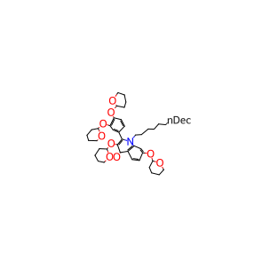 CCCCCCCCCCCCCCCCn1c(-c2ccc(OC3CCCCO3)c(OC3CCCCO3)c2)c(OC2CCCCO2)c(=O)c2ccc(OC3CCCCO3)cc21